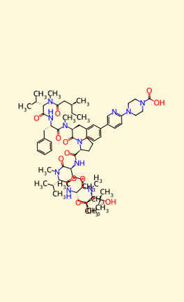 CC[C@H](C)CC(=O)N(C)[C@H](C(=O)N[C@@H](Cc1ccccc1)C(=O)N(C)[C@@H](Cc1cccc(-c2ccc(N3CCN(C(=O)O)CC3)nc2)c1)C(=O)N1CCC[C@H]1C(=O)N[C@H](C(=O)N(C)[C@H](C(=O)N[C@@H](CC(C)C)C(=O)N(C)[C@H](C(C)=O)C(C)(C)O)C(C)C)[C@@H](C)CC)C(C)C